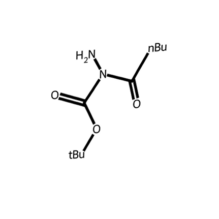 CCCCC(=O)N(N)C(=O)OC(C)(C)C